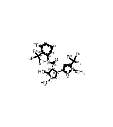 CN1C[C@H](c2cc(C(F)(F)F)n(C)n2)[C@@H](C(=O)Nc2cccc(F)c2C(F)(F)F)C1O